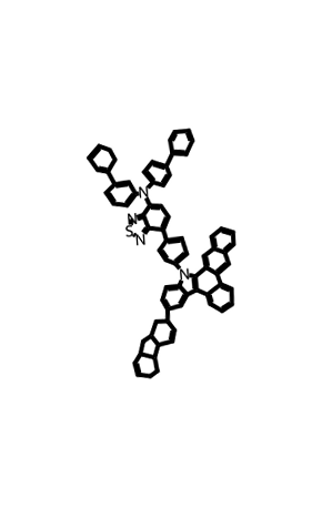 C1=CCCC(c2cccc(N(c3ccc(-c4ccccc4)cc3)c3ccc(-c4ccc(-n5c6ccc(C7C=CC8C(C7)CC7C=CCCC78)cc6c6c7ccccc7c7cc8ccccc8cc7c65)cc4)c4nsnc34)c2)=C1